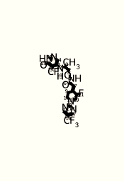 C[C@@H](CONC(=O)/C=C1\CCN(c2ncc(C(F)(F)F)cn2)CC1F)Nc1cn[nH]c(=O)c1C(F)(F)F